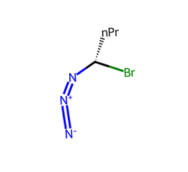 CCC[C@H](Br)N=[N+]=[N-]